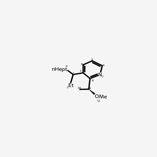 CCCCCCCC(CC)c1cccnc1[C@H](C)OC